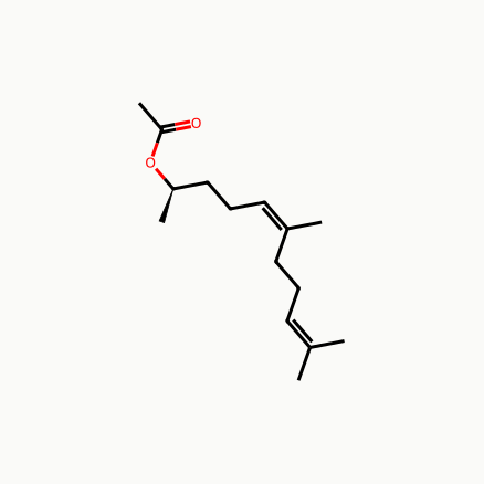 CC(=O)O[C@H](C)CCC=C(C)CCC=C(C)C